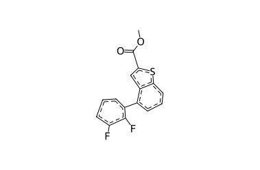 COC(=O)c1cc2c(-c3cccc(F)c3F)cccc2s1